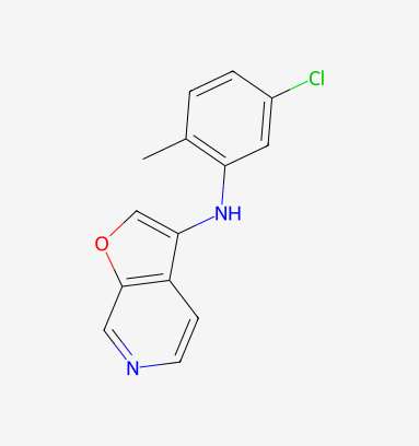 Cc1ccc(Cl)cc1Nc1coc2cnccc12